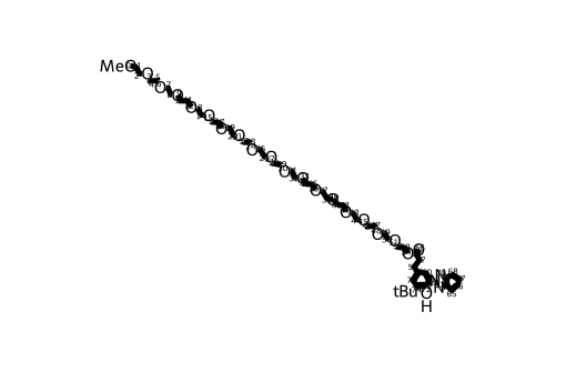 COCCOCCOCCOCCOCCOCCOCCOCCOCCOCCOCCOCCOCCOCCOCCOCCOCCOCCOC(=O)CCc1cc(-n2nc3ccccc3n2)c(O)c(C(C)(C)C)c1